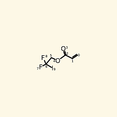 C=CC(=O)OCC(F)(F)I